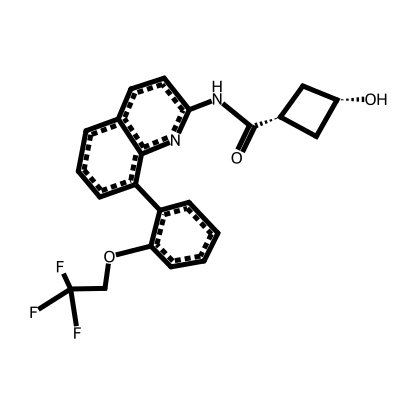 O=C(Nc1ccc2cccc(-c3ccccc3OCC(F)(F)F)c2n1)[C@H]1C[C@@H](O)C1